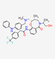 CC(CO)N1C[C@@H](C)[C@@H](CN(C)Cc2ccc(Nc3ccccc3)cc2)Oc2c(NC(=O)Cc3ccc(C(F)(F)F)cc3)cccc2C1=O